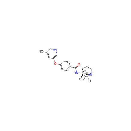 C[C@H]1[C@H](NC(=O)c2ccc(Oc3cncc(C#N)c3)cc2)C2CCN1CC2